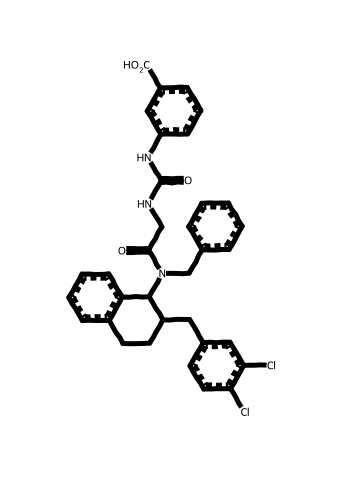 O=C(NCC(=O)N(Cc1ccccc1)C1c2ccccc2CCC1Cc1ccc(Cl)c(Cl)c1)Nc1cccc(C(=O)O)c1